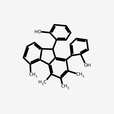 Cc1cccc2c1-c1c(C)c(C)c(C)c(-c3ccccc3O)c1C2c1ccccc1O